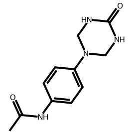 CC(=O)Nc1ccc(N2CNC(=O)NC2)cc1